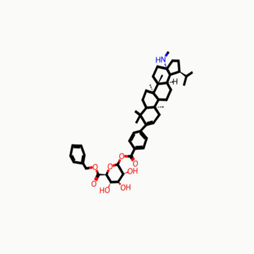 CN[C@]12CC[C@@H](C(C)C)C1[C@H]1CCC3[C@@]4(C)CC=C(c5ccc(C(=O)OC6O[C@H](C(=O)OCc7ccccc7)[C@@H](O)[C@H](O)[C@H]6O)cc5)C(C)(C)C4CC[C@@]3(C)[C@]1(C)CC2